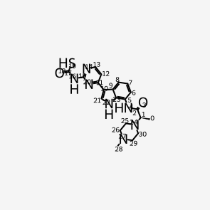 C[C@H](C(=O)Nc1cccc2c(-c3ccnc(NC(=O)S)n3)c[nH]c12)N1CCN(C)CC1